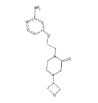 Nc1cc(OCCN2CCN(C3COC3)CC2=O)ccn1